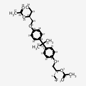 CC(=O)O[C@H](CF)COc1ccc(C(C)(C)c2ccc(OC[C@H](CCl)OC(C)=O)cc2)cc1